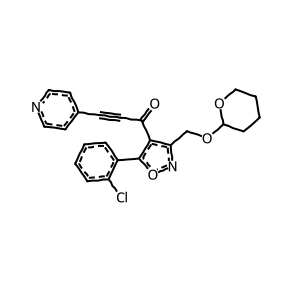 O=C(C#Cc1ccncc1)c1c(COC2CCCCO2)noc1-c1ccccc1Cl